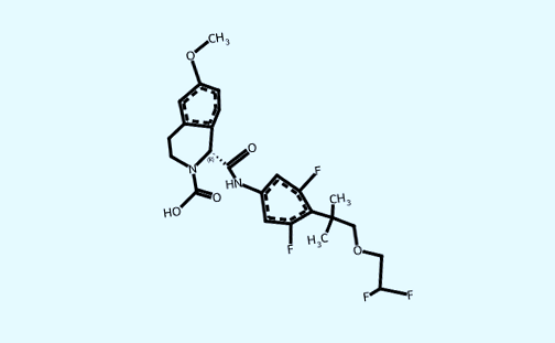 COc1ccc2c(c1)CCN(C(=O)O)[C@H]2C(=O)Nc1cc(F)c(C(C)(C)COCC(F)F)c(F)c1